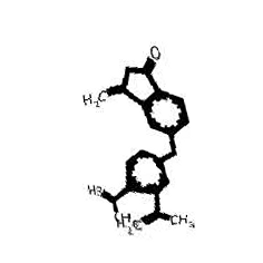 B=C(C)c1ccc(Cc2ccc3c(c2)C(=C)CC3=O)cc1C(=C)C